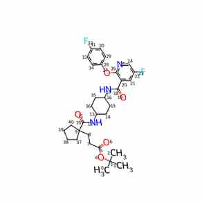 CC(C)(C)OC(=O)CCC1(C(=O)NC2CCC(NC(=O)c3cc(F)cnc3Oc3ccc(F)cc3)CC2)CCCC1